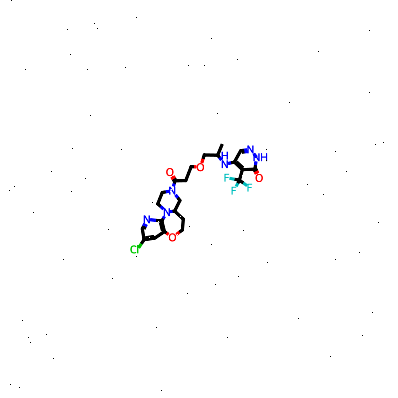 CC(COCCC(=O)N1CCN2c3ncc(Cl)cc3OCCC2C1)Nc1cn[nH]c(=O)c1C(F)(F)F